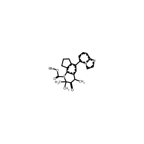 CC1C(=O)C(C)(C)N(C(=O)OC(C)(C)C)c2c1cc(-c1cccc3nccn13)c1c2CCC1